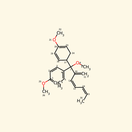 C=C(/C=C\C(=C/C)C(OC)(C(=C)/C=C\C=C/C)C1C=CC(OC)=CC1)OC